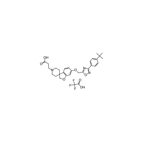 CC(C)(C)c1ccc(-c2noc(COc3ccc4c(c3)OCC43CCN(CCC(=O)O)CC3)n2)cc1.O=C(O)C(F)(F)F